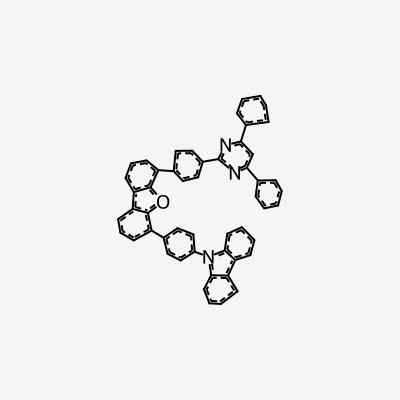 c1ccc(-c2cc(-c3ccccc3)nc(-c3ccc(-c4cccc5c4oc4c(-c6ccc(-n7c8ccccc8c8ccccc87)cc6)cccc45)cc3)n2)cc1